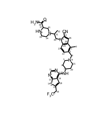 Cc1c(CN2CCC(Nc3ncnc4sc(CC(F)(F)F)cc34)CC2)ccc2c1cc(C#N)n2CC(C)N1CCNC(C(N)=O)C1